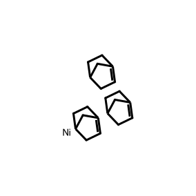 C1=C2CCC(C1)C2.C1=C2CCC(C1)C2.C1=C2CCC(C1)C2.[Ni]